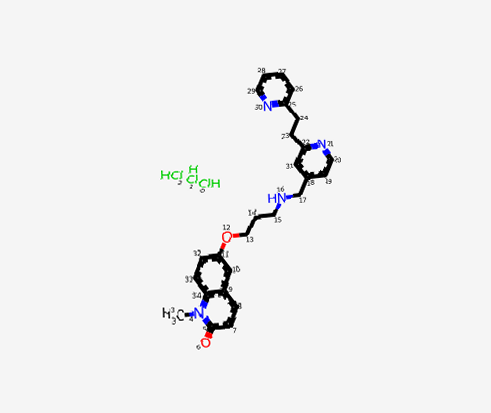 Cl.Cl.Cl.Cn1c(=O)ccc2cc(OCCCNCc3ccnc(CCc4ccccn4)c3)ccc21